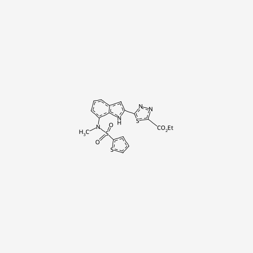 CCOC(=O)c1nnc(-c2cc3cccc(N(C)S(=O)(=O)c4cccs4)c3[nH]2)s1